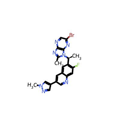 Cc1nc2ncc(Br)nc2n1[C@@H](C)c1cc2cc(-c3cnn(C)c3)cnc2cc1F